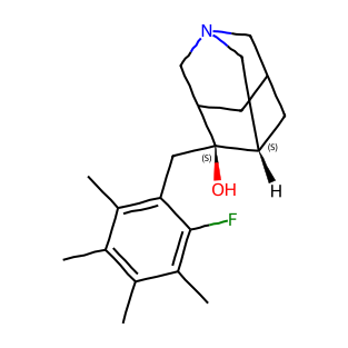 Cc1c(C)c(C)c(C[C@]2(O)C3CC4C[C@H]2CN(C4)C3)c(F)c1C